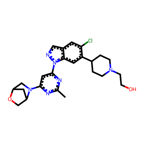 Cc1nc(N2CC3CC2CO3)cc(-n2ncc3cc(Cl)c(C4CCN(CCO)CC4)cc32)n1